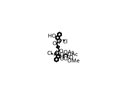 COC(=O)[C@H]1O[C@@H](Oc2cc3c(c4ccccc24)[C@H](CCl)CN3C(=O)C23CC(C(=O)N4C[C@@H](CCl)c5c4cc(O)c4ccccc54)(C2)C3)[C@H](OC(C)=O)[C@@H](OC(C)=O)[C@@H]1OC(C)=O